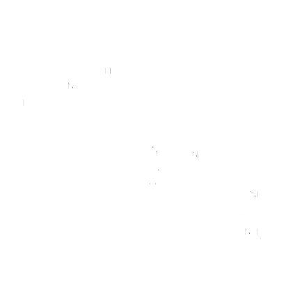 CC1CCC[C@H](C)N1CCCCCn1c(=O)c(-c2cccc(C(=N)N)c2)nc2ccccc21